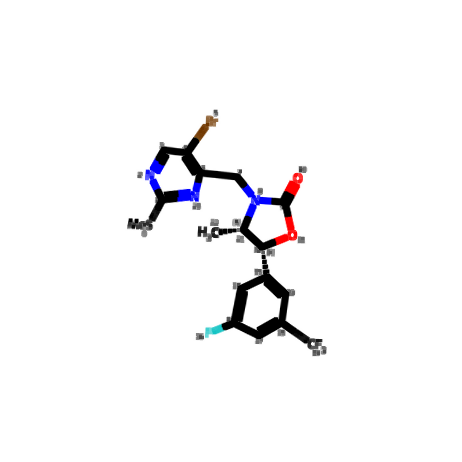 CSc1ncc(Br)c(CN2C(=O)O[C@H](c3cc(F)cc(C(F)(F)F)c3)[C@@H]2C)n1